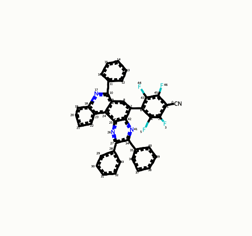 N#Cc1c(F)c(F)c(-c2cc3c(-c4ccccc4)nc4ccccc4c3c3nc(-c4ccccc4)c(-c4ccccc4)nc23)c(F)c1F